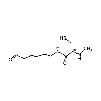 CN[C@@H](CS)C(=O)NCCCCCC=O